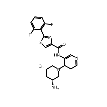 N[C@H]1C[C@H](O)CN(C2CC=NC=C2NC(=O)c2csc(-c3c(F)cccc3F)n2)C1